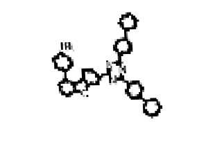 CC(C)(C)c1ccc(-c2cccc3oc4cc(-c5nc(-c6ccc(-c7ccccc7)cc6)nc(-c6ccc(-c7ccccc7)cc6)n5)ccc4c23)cc1